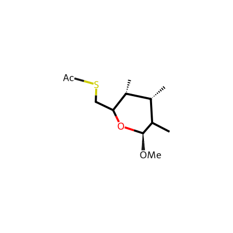 CO[C@H]1OC(CSC(C)=O)[C@H](C)[C@H](C)C1C